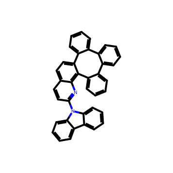 c1ccc2c(c1)-c1ccccc1-c1ccc3ccc(-n4c5ccccc5c5ccccc54)nc3c1-c1ccccc1-2